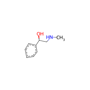 CNC[C@H](O)c1ccccc1